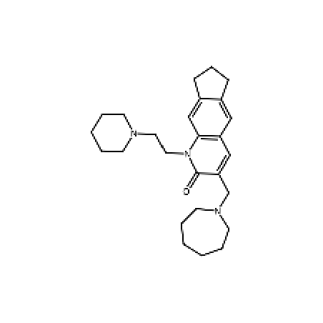 O=c1c(CN2CCCCCC2)cc2cc3c(cc2n1CCN1CCCCC1)CCC3